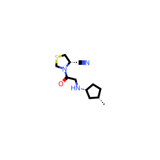 C[C@H]1CC[C@@H](NCC(=O)N2CSC[C@@H]2C#N)C1